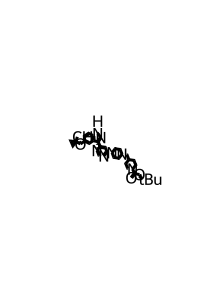 CC(C)(C)OC(=O)N1CCC(CN2CCN(c3cc(-c4n[nH]c5ccc(OC6(C)CC6)cc45)ncn3)CC2)CC1